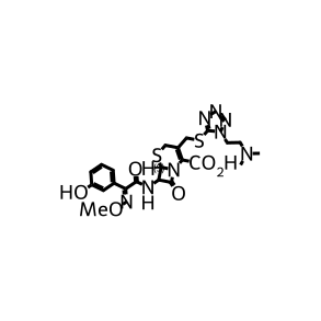 CON=C(C(=O)NC1C(=O)N2C(C(=O)O)=C(CSc3nnnn3CCN(C)C)CS[C@@H]12)c1cccc(O)c1